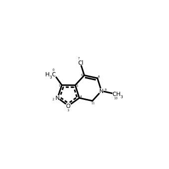 Cc1noc2c1C(Cl)=CN(C)C2